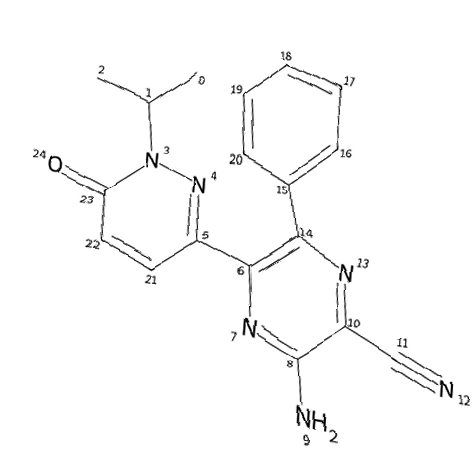 CC(C)n1nc(-c2nc(N)c(C#N)nc2-c2ccccc2)ccc1=O